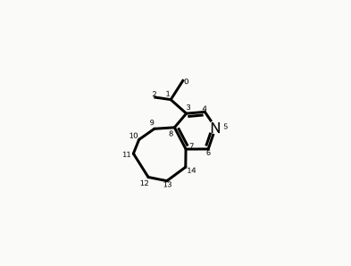 CC(C)c1cncc2c1CCCCCC2